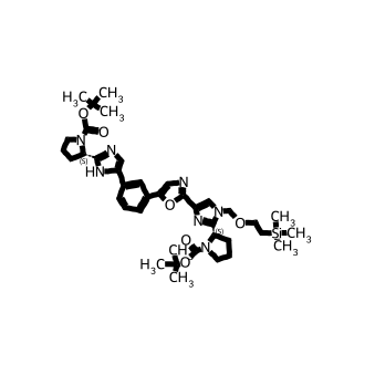 CC(C)(C)OC(=O)N1CCC[C@H]1c1ncc(-c2cccc(-c3cnc(-c4cn(COCC[Si](C)(C)C)c([C@@H]5CCCN5C(=O)OC(C)(C)C)n4)o3)c2)[nH]1